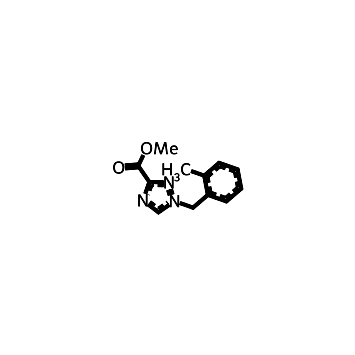 COC(=O)c1ncn(Cc2ccccc2C)n1